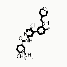 C[C@H]1CC[C@H](C(=O)Nc2cc(-c3ccc(F)c(NCC4CCOCC4)c3)c(Cl)cn2)CN1C